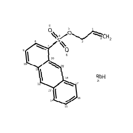 C=CCOS(=O)(=O)c1cccc2cc3ccccc3cc12.[RbH]